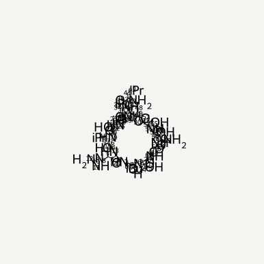 CC[C@H](C)[C@@H]1NC(=O)[C@@H](CCCNC(=N)N)NC(=O)[C@H](CC(C)C)NC(=O)[C@H]([C@H](O)C(C)C)NC(=O)[C@@H](NC(=O)[C@H](CC(C)C)NC(=O)[C@H](N)CC(C)C)[C@@H](c2ccccc2)OC(=O)C(CO)NC(=O)[C@H]([C@H](O)C(N)=O)NC(=O)CNC(=O)[C@H]([C@H](C)O)NC1=O